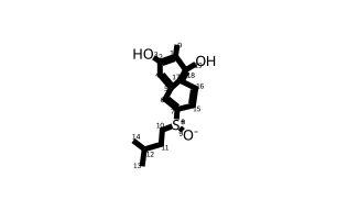 Cc1c(O)cc2cc([S+]([O-])CCC(C)C)ccc2c1O